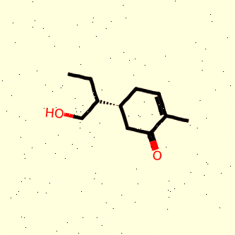 CCC(CO)[C@@H]1CC=C(C)C(=O)C1